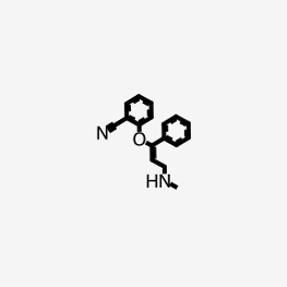 CNCC=C(Oc1ccccc1C#N)c1ccccc1